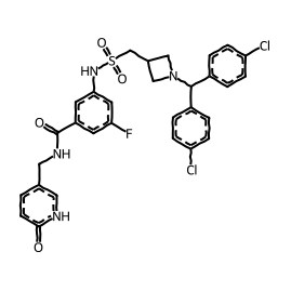 O=C(NCc1ccc(=O)[nH]c1)c1cc(F)cc(NS(=O)(=O)CC2CN(C(c3ccc(Cl)cc3)c3ccc(Cl)cc3)C2)c1